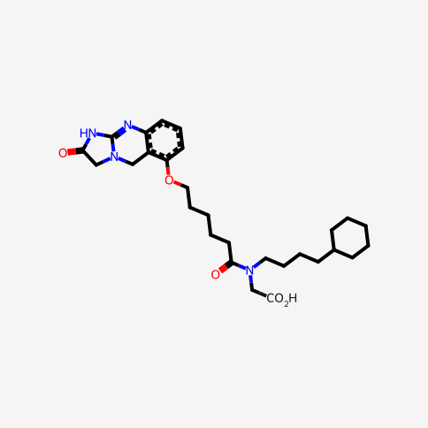 O=C(O)CN(CCCCC1CCCCC1)C(=O)CCCCCOc1cccc2c1CN1CC(=O)NC1=N2